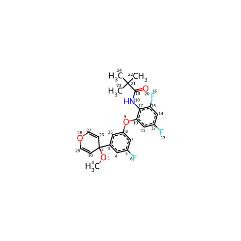 COC1(c2cc(F)cc(Oc3cc(F)cc(F)c3NC(=O)C(C)(C)C)c2)C=COC=C1